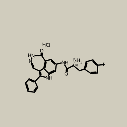 Cl.N[C@H](Cc1ccc(F)cc1)C(=O)Nc1cc2c3c(c(-c4ccccc4)[nH]c3c1)C=NNC2=O